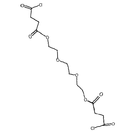 O=C(Cl)CCC(=O)OCCOCCOCCOC(=O)CCC(=O)Cl